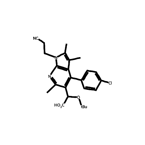 Cc1nc2c(c(C)c(C)n2CCC#N)c(-c2ccc(Cl)cc2)c1C(OC(C)(C)C)C(=O)O